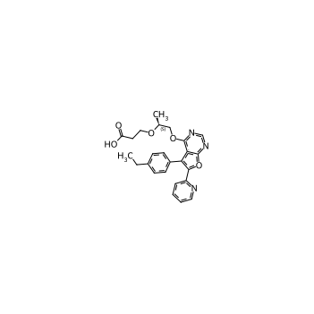 CCc1ccc(-c2c(-c3ccccn3)oc3ncnc(OC[C@H](C)OCCC(=O)O)c23)cc1